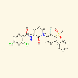 CS(=O)(=O)c1c(-c2ccccc2)ccc(N2CCCC(NC(=O)c3ccc(Cl)cc3Cl)C2=O)c1F